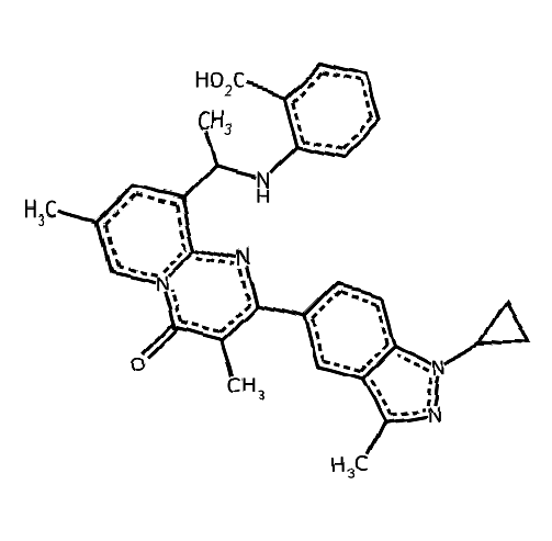 Cc1cc(C(C)Nc2ccccc2C(=O)O)c2nc(-c3ccc4c(c3)c(C)nn4C3CC3)c(C)c(=O)n2c1